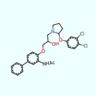 CC(=O)Nc1cc(-c2ccccc2)ccc1OCC(O)CN1CCCC1Oc1ccc(Cl)c(Cl)c1